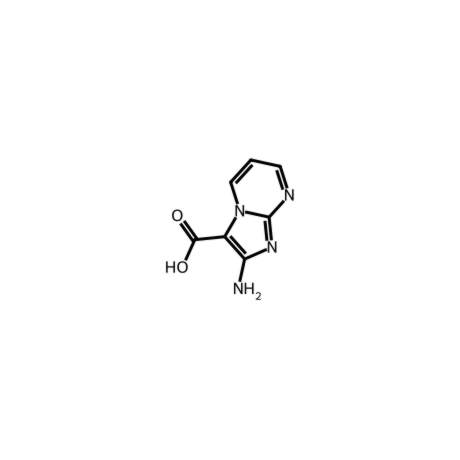 Nc1nc2ncccn2c1C(=O)O